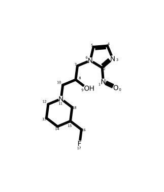 O=Nc1nccn1CC(O)CN1CCCC(CF)C1